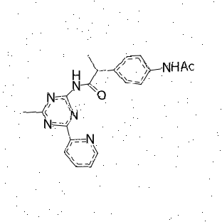 CC(=O)Nc1ccc(C(C)C(=O)Nc2nc(C)nc(-c3ccccn3)n2)cc1